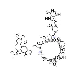 C=CC[C@@H]1/C=C(\C)C[C@H](C)C[C@H](OC)[C@H]2O[C@@](O)(C(=O)C(=O)N3CCCC[C@H]3C(=O)O[C@H](/C(C)=C/[C@@H]3CC[C@@H](O)[C@H](OC)C3)[C@H](C)[C@@H](O)CC1=O)[C@H](C)C[C@@H]2OC.COc1cc2c(c(OC)c1OC)-c1ccc(OC)c(=O)cc1[C@@H](NC(C)=O)CC2.S=c1nc[nH]c2nc[nH]c12